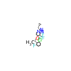 C[C@H](COc1ccn2c(CC3CC3)nnc2c1C(F)(F)F)c1c(F)cccc1Cl